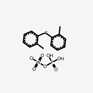 Cc1ccccc1[I+]c1ccccc1C.O=P(O)(O)[O][W](=[O])(=[O])[O-]